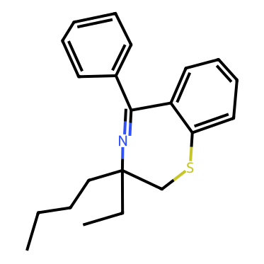 CCCCC1(CC)CSc2ccccc2C(c2ccccc2)=N1